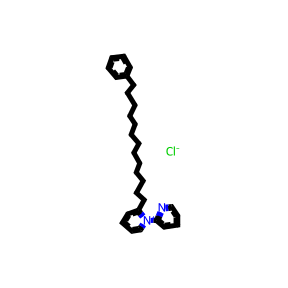 [Cl-].c1ccc(CCCCCCCCCCCCCc2cccc[n+]2-c2ccccn2)cc1